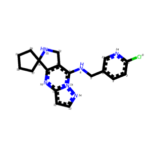 Clc1ccc(CNc2c3c(nc4ccnn24)C2(CCCC2)NC3)cn1